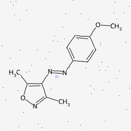 COc1ccc(/N=N/c2c(C)noc2C)cc1